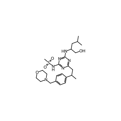 CC(C)CC(CO)Nc1nc(CC(C)c2ccc(CN3CCOCC3)cc2)nc(NS(C)(=O)=O)n1